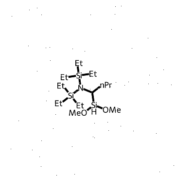 CCCC(N([Si](CC)(CC)CC)[Si](CC)(CC)CC)[SiH](OC)OC